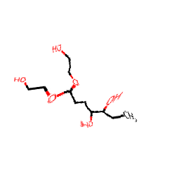 CCC(O)C(O)CCC(OCCO)OCCO